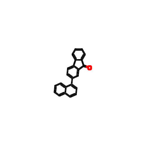 O=C1c2ccccc2-c2ccc(-c3cccc4ccccc34)cc21